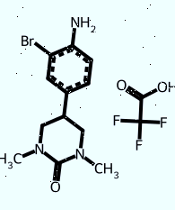 CN1CC(c2ccc(N)c(Br)c2)CN(C)C1=O.O=C(O)C(F)(F)F